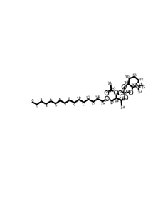 CCCCCCCCCCCCCCCCOCC(OC(C)=O)C(C)OP1(=O)OC2CCC[N+](C)(C)C2O1